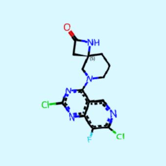 O=C1C[C@]2(CCCN(c3nc(Cl)nc4c(F)c(Cl)ncc34)C2)N1